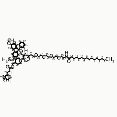 CCCCCCCCCCCCCCCC(=O)NCCOCCOCCOCCOCCC(=O)N[C@@H](COC(c1ccccc1)(c1ccc(OC)cc1)c1ccc(OC)cc1)C(=O)N1CCC(COC(=O)CCC(=O)NC)CC1